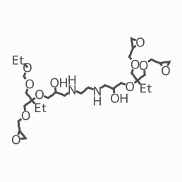 CCOCOCC(CC)(COCC1CO1)OCC(O)CNCCNCC(O)COC(CC)(COCC1CO1)COCC1CO1